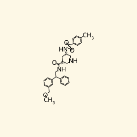 COCc1cccc(C(CNC(=O)[C@@H]2CNC[C@H](NS(=O)(=O)c3ccc(C)cc3)C2)c2ccccc2)c1